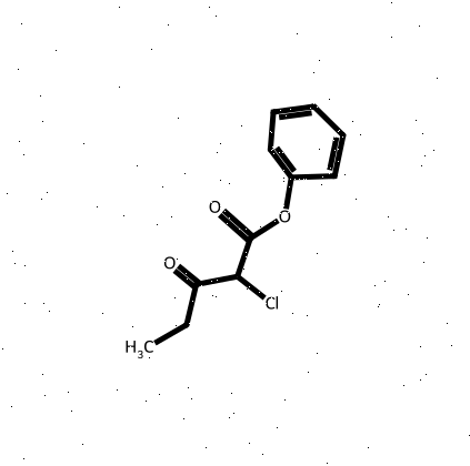 CCC(=O)C(Cl)C(=O)Oc1ccccc1